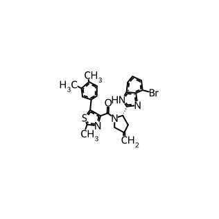 C=C1C[C@@H](c2nc3c(Br)cccc3[nH]2)N(C(=O)c2nc(C)sc2-c2ccc(C)c(C)c2)C1